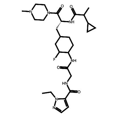 CCn1nccc1C(=O)NCC(=O)NC1CCC(C[C@@H](NC(=O)C(C)C2CC2)C(=O)N2CCN(C)CC2)CC1F